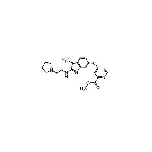 CNC(=O)c1cc(Oc2ccc3c(c2)nc(NCCN2CCCC2)n3C)ccn1